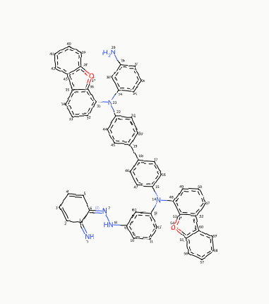 N=C1C=CC=C/C1=N/Nc1cccc(N(c2ccc(-c3ccc(N(c4cccc(N)c4)c4cccc5c4oc4ccccc45)cc3)cc2)c2cccc3c2oc2ccccc23)c1